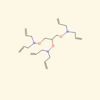 C=CCN(CC=C)OCC(CON(CC=C)CC=C)ON(CC=C)CC=C